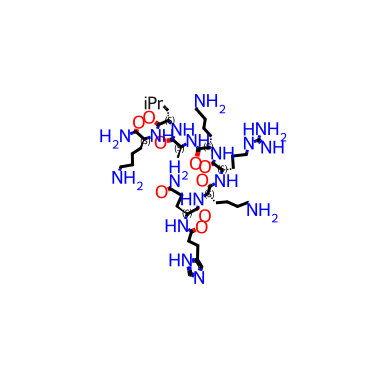 CC(C)C[C@H](NC(=O)[C@H](C)NC(=O)[C@H](CCCCN)NC(=O)[C@H](CCCNC(=N)N)NC(=O)[C@H](CCCCN)NC(=O)[C@H](CCC(N)=O)NC(=O)CCc1cnc[nH]1)C(=O)N[C@@H](CCCCN)C(N)=O